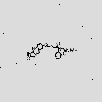 CNC(=O)CN(C(=O)CCCOc1ccc2c(c1)CN1CC(=O)NC1=N2)c1ccccc1